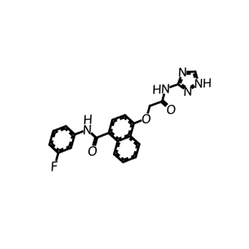 O=C(COc1ccc(C(=O)Nc2cccc(F)c2)c2ccccc12)Nc1nc[nH]n1